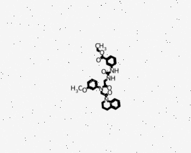 CCOC(=O)c1cccc(NC(=O)NCC(=O)N(CC(=O)N2CCCc3ccccc32)c2cccc(OC)c2)c1